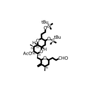 C=C1C(C[C@@H]2O[C@H]3CC(O[Si](C)(C)C(C)(C)C)C(CCO[Si](C)(C)C(C)(C)C)O[C@H]3[C@H](C)[C@H]2OC(C)=O)OC(CCC=O)C[C@H]1C